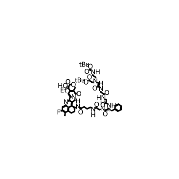 CC[C@@]1(O)C(=O)OCc2c1cc1n(c2=O)Cc2c-1nc1cc(F)c(C)c3c1c2[C@@H](NC(=O)CCCNC(=O)CNC(=O)[C@H](Cc1ccccc1)NC(=O)CNC(=O)CNC(=O)CN(CCNC(=O)OC(C)(C)C)CC(=O)OC(C)(C)C)CC3